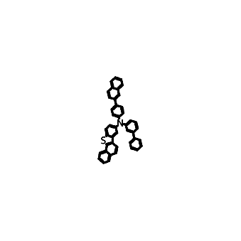 c1ccc(-c2cccc(N(c3ccc(-c4ccc5ccccc5c4)cc3)c3ccc4sc5c6ccccc6ccc5c4c3)c2)cc1